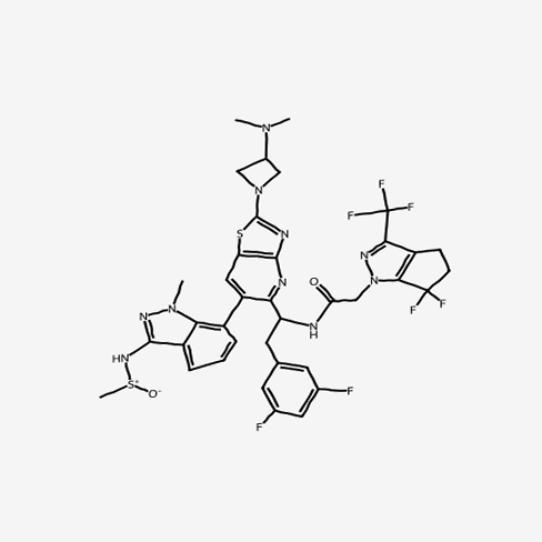 CN(C)C1CN(c2nc3nc(C(Cc4cc(F)cc(F)c4)NC(=O)Cn4nc(C(F)(F)F)c5c4C(F)(F)CC5)c(-c4cccc5c(N[S+](C)[O-])nn(C)c45)cc3s2)C1